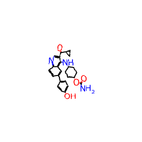 NC(=O)O[C@H]1CC[C@H](Nc2c(C(=O)C3CC3)cnc3ccc(-c4ccc(O)cc4)cc23)CC1